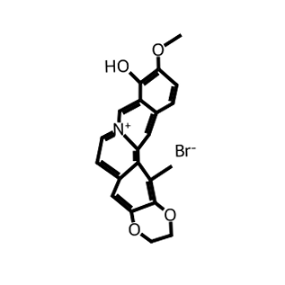 COc1ccc2cc3c4c(C)c5c(cc4cc[n+]3cc2c1O)OCCO5.[Br-]